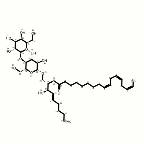 CC/C=C\C/C=C\C/C=C\CCCCCCCC(=O)N[C@@H](CO[C@@H]1O[C@H](CO)[C@@H](O[C@@H]2O[C@H](CO)[C@H](O)[C@H](O)[C@H]2O)[C@H](O)[C@H]1O)[C@H](O)/C=C/CCCCCCCCCCCCC